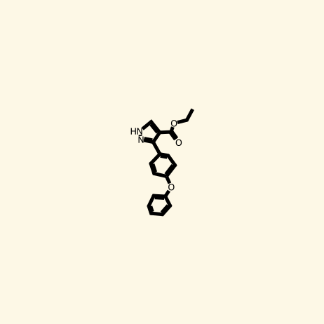 CCOC(=O)c1c[nH]nc1-c1ccc(Oc2ccccc2)cc1